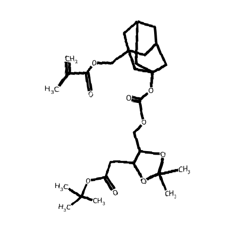 C=C(C)C(=O)OCC12CC3CC(C1)CC(OC(=O)OCC1OC(C)(C)OC1CC(=O)OC(C)(C)C)(C3)C2